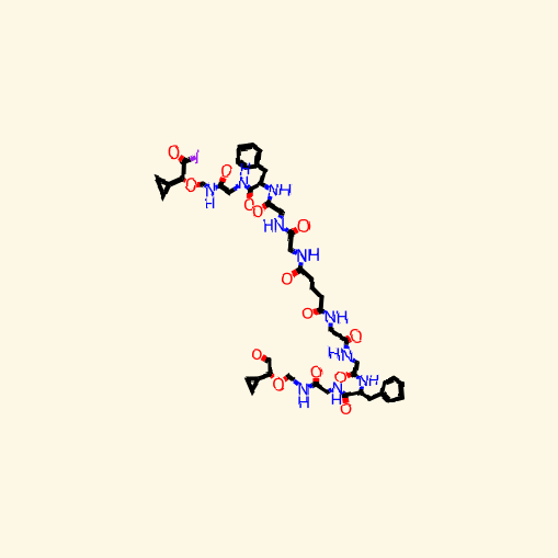 O=CC(OCNC(=O)CNC(=O)C(Cc1ccccc1)NC(=O)CNC(=O)CNC(=O)CCCC(=O)NCC(=O)NCC(=O)NC(Cc1ccccc1)C(=O)NCC(=O)NCOC(C(=O)I)C1CC1)C1CC1